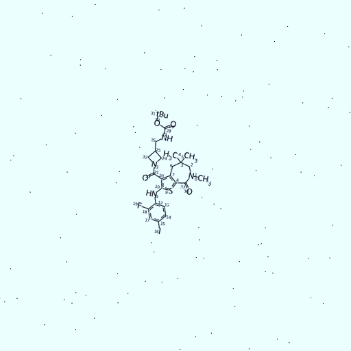 CN1CC(C)(C)Cc2c(sc(Nc3ccc(I)cc3F)c2C(=O)N2CC(CNC(=O)OC(C)(C)C)C2)C1=O